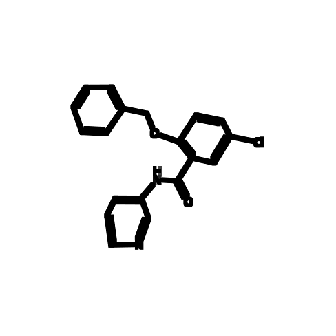 O=C(Nc1cccnc1)c1cc(Cl)ccc1OCc1ccccc1